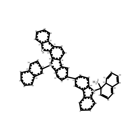 CC1(n2c3ccccc3c3cc(-c4ccc5c(c4)c4ccc6c7ccccc7oc6c4n5-c4ccc5ccccc5c4)ccc32)C=CC=C2C=CC=CC21